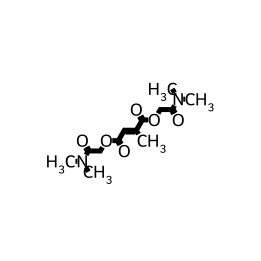 C/C(=C\C(=O)OCC(=O)N(C)C)C(=O)OCC(=O)N(C)C